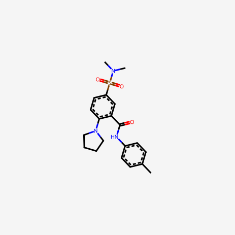 Cc1ccc(NC(=O)c2cc(S(=O)(=O)N(C)C)ccc2N2CCCC2)cc1